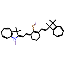 CC1(C)C2=C(C=CCC=C2)N(I)/C1=C/C=C1\CCCC(/C=C/[C@@]2(C)C3=C(C=CC=CC3)C2(C)C)=C1SI